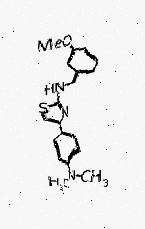 COc1cccc(CNc2nc(-c3ccc(N(C)C)cc3)cs2)c1